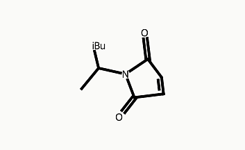 CCC(C)C(C)N1C(=O)C=CC1=O